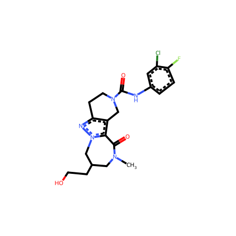 CN1CC(CCO)Cn2nc3c(c2C1=O)CN(C(=O)Nc1ccc(F)c(Cl)c1)CC3